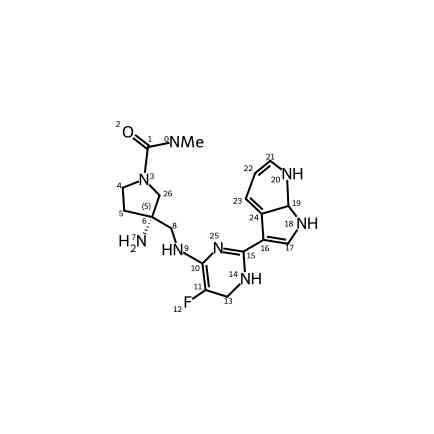 CNC(=O)N1CC[C@](N)(CNC2=C(F)CNC(C3=CNC4NC=CC=C34)=N2)C1